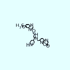 COc1ccc2ncc(OCCCC(NCc3ccc4ncc(=O)oc4n3)C3CCNCC3)nc2c1